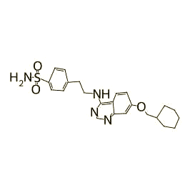 NS(=O)(=O)c1ccc(CCNc2ncnc3cc(OCC4CCCCC4)ccc23)cc1